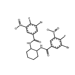 O=C(NC1CCCCC1NC(=O)c1cc(Br)c(F)c([N+](=O)[O-])c1)c1cc(Br)c(F)c([N+](=O)[O-])c1